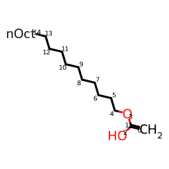 C=C(O)OCCCCCCCCCCCCCCCCCC